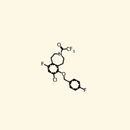 O=C(N1CCc2c(F)cc(Cl)c(OCc3ccc(F)cc3)c2CC1)C(F)(F)F